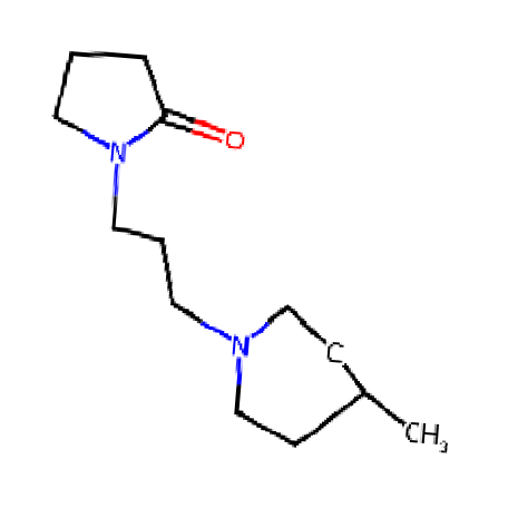 CC1CCN(CCCN2CCCC2=O)CC1